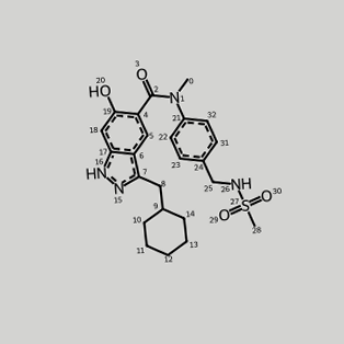 CN(C(=O)c1cc2c(CC3CCCCC3)n[nH]c2cc1O)c1ccc(CNS(C)(=O)=O)cc1